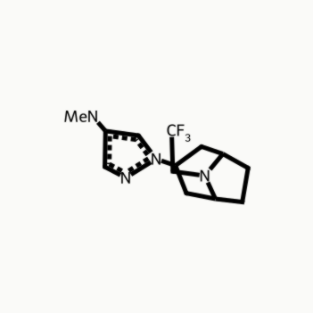 CNc1cnn(C2CC3CCC(C2)N3CC(F)(F)F)c1